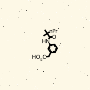 CCCC(C)(C)C(=O)Nc1cccc(CC(=O)O)c1